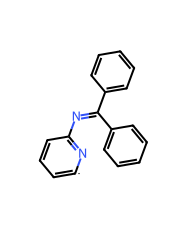 [c]1cccc(N=C(c2ccccc2)c2ccccc2)n1